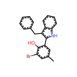 Cc1cc(Br)c(O)c(-c2[nH]c3ccccc3c2Cc2ccccc2)c1